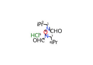 CC(C)CN(C=O)ON(C=O)CC(C)C.Cl